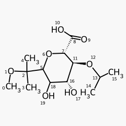 COC(C)(C)C1O[C@H](C(=O)O)[C@@H](OC(C)C)[C@H](O)C1O